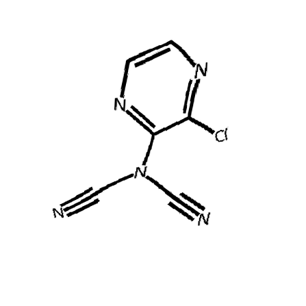 N#CN(C#N)c1nccnc1Cl